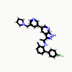 C/C(=N\c1c(C)cccc1-c1ccc(F)cc1)c1n[nH]c2ncc(-c3cncc(CN4CCCC4)c3)cc12